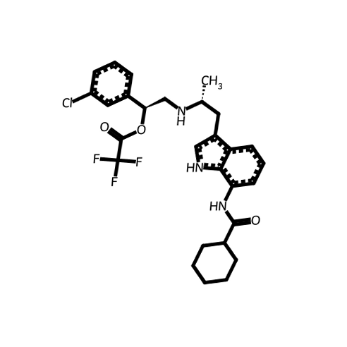 C[C@H](Cc1c[nH]c2c(NC(=O)C3CCCCC3)cccc12)NC[C@@H](OC(=O)C(F)(F)F)c1cccc(Cl)c1